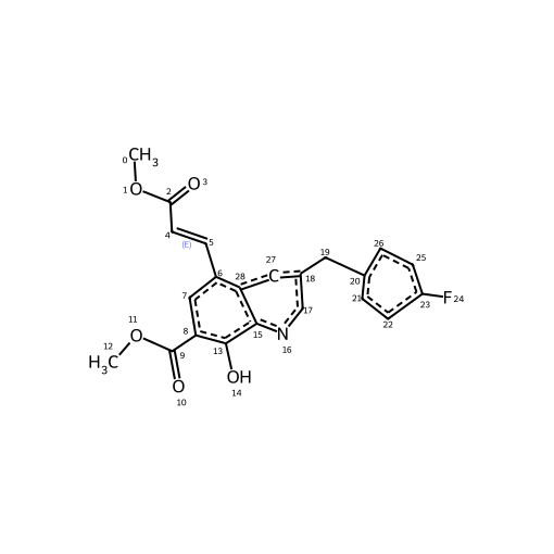 COC(=O)/C=C/c1cc(C(=O)OC)c(O)c2ncc(Cc3ccc(F)cc3)cc12